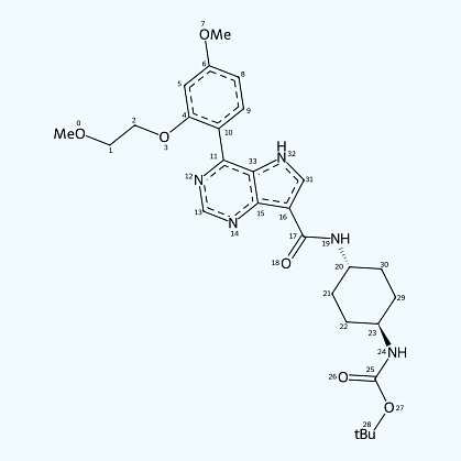 COCCOc1cc(OC)ccc1-c1ncnc2c(C(=O)N[C@H]3CC[C@H](NC(=O)OC(C)(C)C)CC3)c[nH]c12